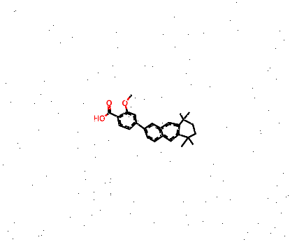 COc1cc(-c2ccc3cc4c(cc3c2)C(C)(C)CCC4(C)C)ccc1C(=O)O